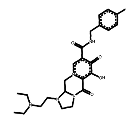 CCN(CC)CCN1CCN2C(=O)c3c(O)c(=O)c(C(=O)NCc4ccc(F)cc4)cn3CC12